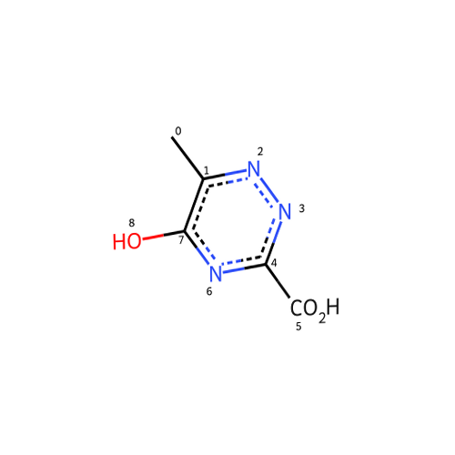 Cc1nnc(C(=O)O)nc1O